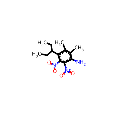 CCC(CC)c1c(C)c(C)c(N)c([N+](=O)[O-])c1[N+](=O)[O-]